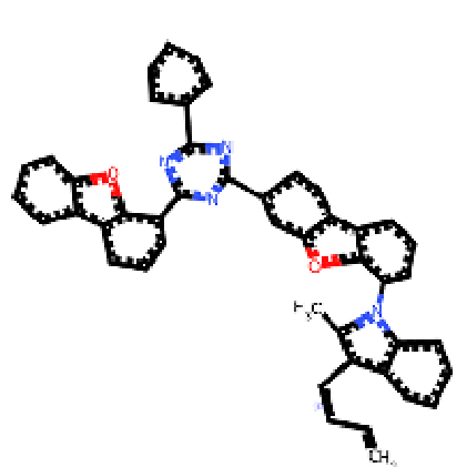 C=C/C=C\c1c(C)n(-c2cccc3c2oc2cc(-c4nc(-c5ccccc5)nc(-c5cccc6c5oc5ccccc56)n4)ccc23)c2ccccc12